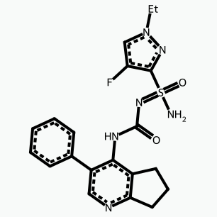 CCn1cc(F)c(S(N)(=O)=NC(=O)Nc2c(-c3ccccc3)cnc3c2CCC3)n1